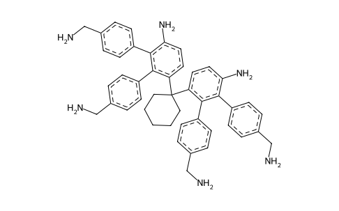 NCc1ccc(-c2c(N)ccc(C3(c4ccc(N)c(-c5ccc(CN)cc5)c4-c4ccc(CN)cc4)CCCCC3)c2-c2ccc(CN)cc2)cc1